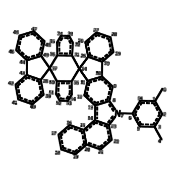 Cc1cc(C)cc(-n2c3cc4c(cc3c3c5ccccc5ccc32)C2(c3ccccc3-4)c3ccccc3C3(c4ccccc4-c4ccccc43)c3ccccc32)c1